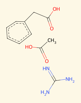 CC(=O)O.N=C(N)N.O=C(O)Cc1ccccc1